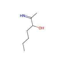 CCCCC(O)C(C)=N